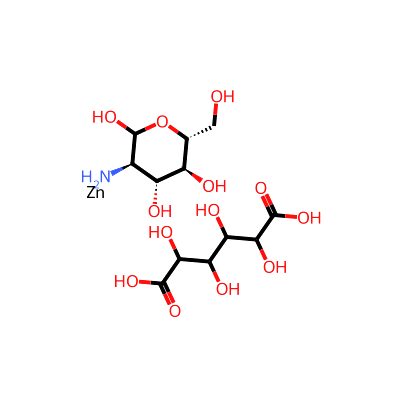 N[C@H]1C(O)O[C@H](CO)[C@@H](O)[C@@H]1O.O=C(O)C(O)C(O)C(O)C(O)C(=O)O.[Zn]